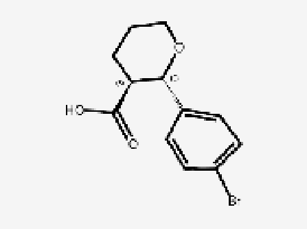 O=C(O)[C@H]1CCCO[C@@H]1c1ccc(Br)cc1